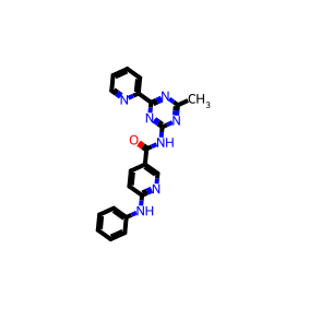 Cc1nc(NC(=O)c2ccc(Nc3ccccc3)nc2)nc(-c2ccccn2)n1